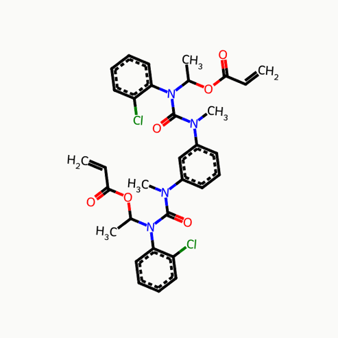 C=CC(=O)OC(C)N(C(=O)N(C)c1cccc(N(C)C(=O)N(c2ccccc2Cl)C(C)OC(=O)C=C)c1)c1ccccc1Cl